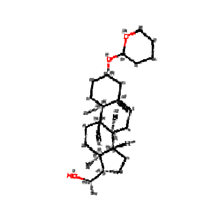 C[C@H](O)[C@H]1CC[C@H]2[C@@H]3CC=C4C[C@@H](OC5CCCCO5)CC[C@]4(C)[C@H]3CC[C@]12C